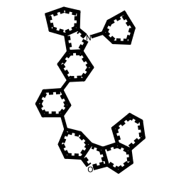 c1ccc(-n2c3ccccc3c3cc(-c4cccc(-c5ccc6oc7ccc8ccccc8c7c6c5)c4)ccc32)cc1